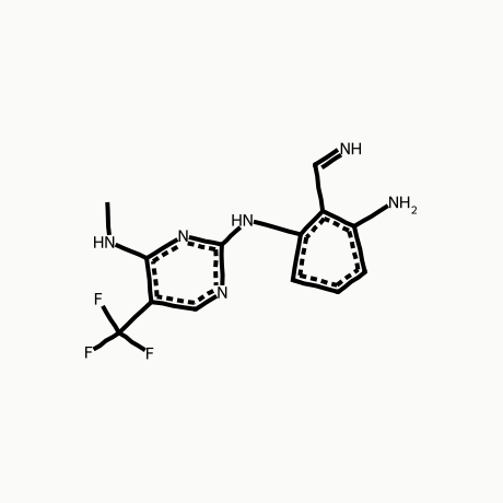 CNc1nc(Nc2cccc(N)c2C=N)ncc1C(F)(F)F